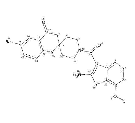 COc1cccc2c(C(=O)N3CCC4(CC3)CC(=O)c3cc(Br)ccc3S4)c(N)sc12